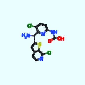 NC(c1cc2ccnc(Cl)c2s1)c1nc(NC(=O)O)ccc1Cl